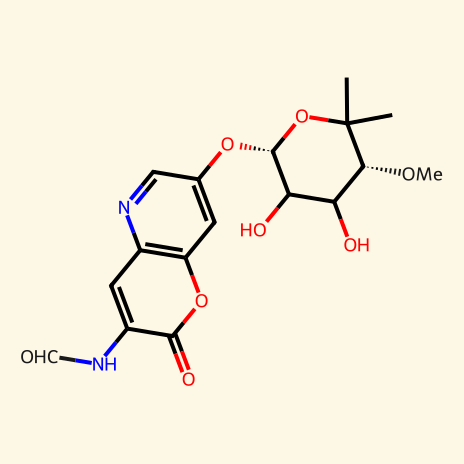 CO[C@@H]1C(O)C(O)[C@H](Oc2cnc3cc(NC=O)c(=O)oc3c2)OC1(C)C